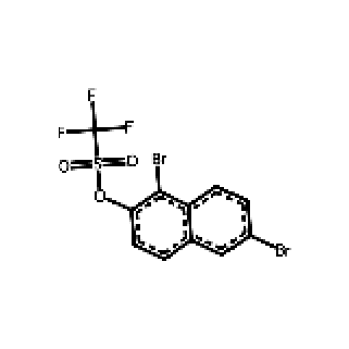 O=S(=O)(Oc1ccc2cc(Br)ccc2c1Br)C(F)(F)F